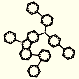 c1ccc(-c2ccc(N(c3cccc(-c4ccccc4)c3)c3ccc4c(c3)c3c(-c5ccccc5-c5ccccc5)cccc3n4-c3ccccc3)cc2)cc1